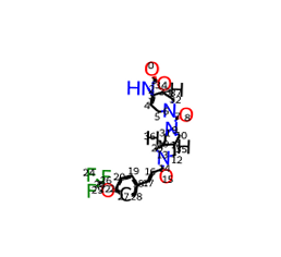 O=C1NC2=CCN(C(=O)N3C[C@H]4CN(C(=O)C=Cc5ccc(OC(F)(F)F)cc5)C[C@@H]4C3)C[C@H]2O1